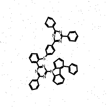 c1ccc(-c2nc(-c3ccccc3)nc(-c3ccc(Sc4ccccc4-c4nc(-c5ccccc5)nc(-n5c6ccccc6c6c(-c7ccccc7)cccc65)n4)cc3)n2)cc1